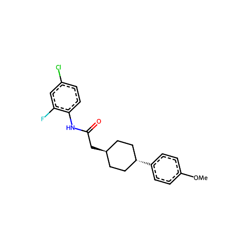 COc1ccc([C@H]2CC[C@H](CC(=O)Nc3ccc(Cl)cc3F)CC2)cc1